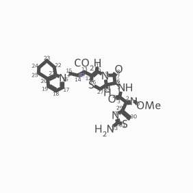 CON=C(C(=O)N[C@@H]1C(=O)N2C(C(=O)O)=C(/C=C/C[n+]3cccc4c3CCCC4)SC[C@H]12)c1csc(N)n1